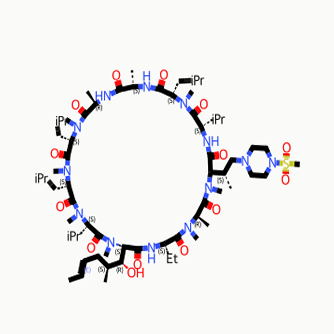 C/C=C/C[C@H](C)[C@@H](O)[C@H]1C(=O)N[C@@H](CC)C(=O)N(C)[C@H](C)C(=O)N(C)C([C@@H](C)CN2CCN(S(C)(=O)=O)CC2)C(=O)N[C@@H](C(C)C)C(=O)N(C)[C@@H](CC(C)C)C(=O)N[C@@H](C)C(=O)N[C@H](C)C(=O)N(C)[C@@H](CC(C)C)C(=O)N(C)[C@@H](CC(C)C)C(=O)N(C)[C@@H](C(C)C)C(=O)N1C